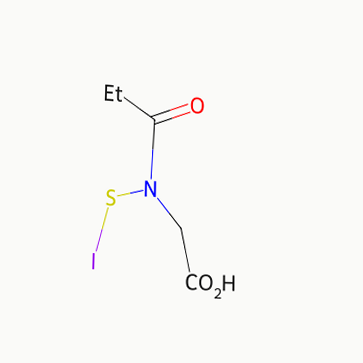 CCC(=O)N(CC(=O)O)SI